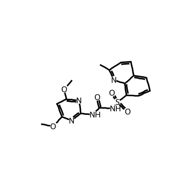 COc1cc(OC)nc(NC(=O)NS(=O)(=O)c2cccc3ccc(C)nc23)n1